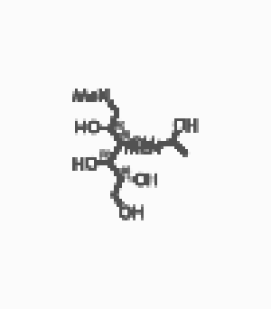 CNC(C)O.CNC[C@H](O)[C@@H](O)[C@H](O)[C@H](O)CO